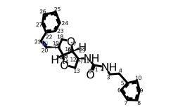 O=C(NCCc1ccccc1)N[C@H]1CO[C@H]2[C@@H]1OC[C@@H]2/C=C\c1ccccc1